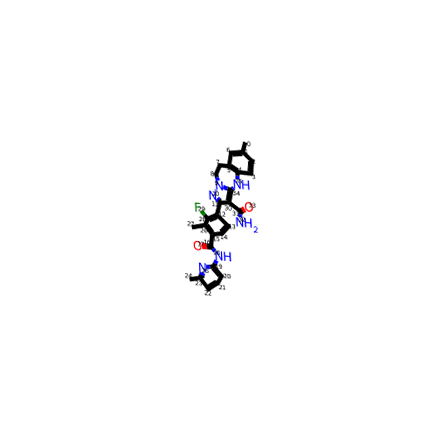 Cc1ccc2c(c1)CCn1nc(-c3ccc(C(=O)Nc4cccc(C)n4)c(C)c3F)c(C(N)=O)c1N2